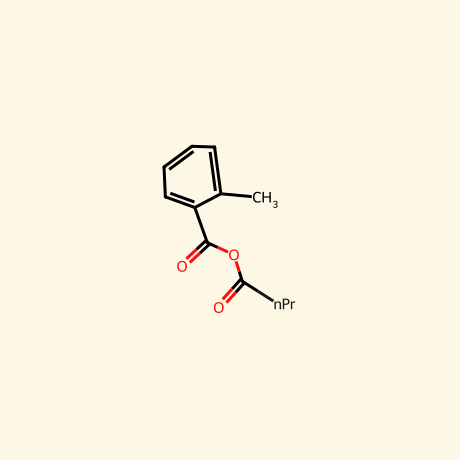 CCCC(=O)OC(=O)c1ccccc1C